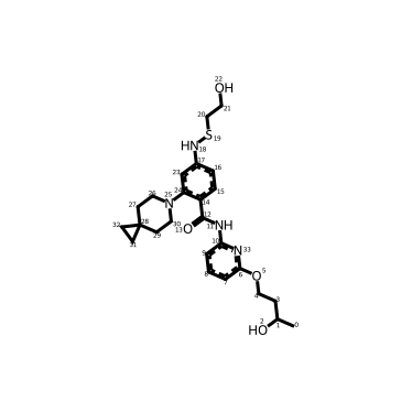 CC(O)CCOc1cccc(NC(=O)c2ccc(NSCCO)cc2N2CCC3(CC2)CC3)n1